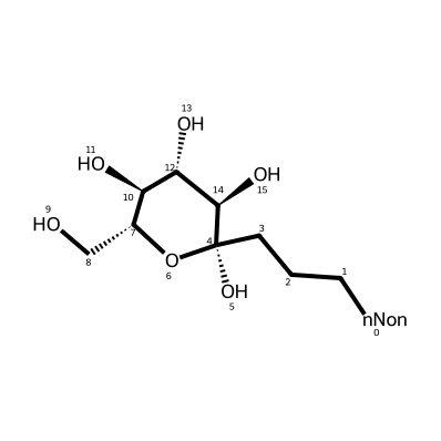 CCCCCCCCCCCC[C@@]1(O)O[C@H](CO)[C@@H](O)[C@H](O)[C@H]1O